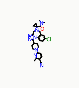 Cc1nc(N2CCC(c3nnc4n3-c3ccc(Cl)cc3CN(C3(C(=O)N(C)C)CC3)C4)CC2)ccc1C#N